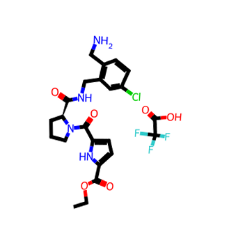 CCOC(=O)c1ccc(C(=O)N2CCC[C@H]2C(=O)NCc2cc(Cl)ccc2CN)[nH]1.O=C(O)C(F)(F)F